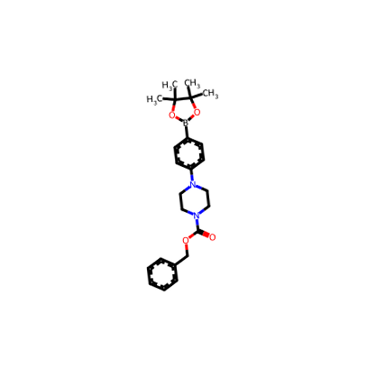 CC1(C)OB(c2ccc(N3CCN(C(=O)OCc4ccccc4)CC3)cc2)OC1(C)C